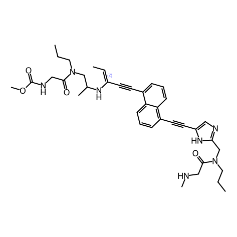 C/C=C(/C#Cc1cccc2c(C#Cc3cnc(CN(CCC)C(=O)CNC)[nH]3)cccc12)NC(C)CN(CCC)C(=O)CNC(=O)OC